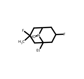 CCC12CC(F)CC(CC(C)(F)C1)N2O